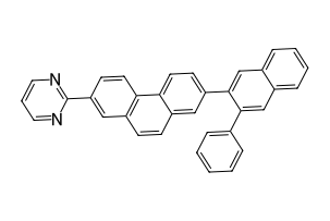 c1ccc(-c2cc3ccccc3cc2-c2ccc3c(ccc4cc(-c5ncccn5)ccc43)c2)cc1